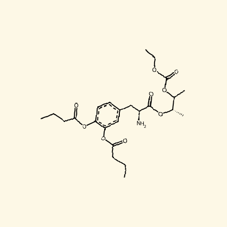 CCCC(=O)Oc1ccc(C[C@H](N)C(=O)O[C@@H](C)C(C)OC(=O)OCC)cc1OC(=O)CCC